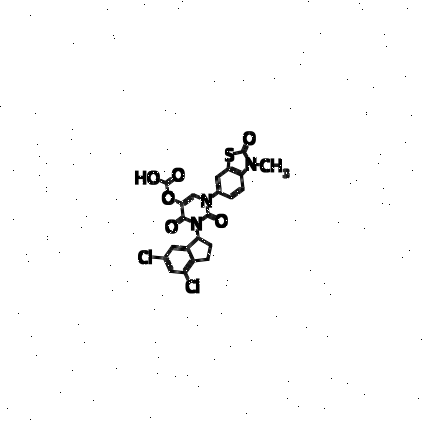 Cn1c(=O)sc2cc(-n3cc(OC(=O)O)c(=O)n(C4CCc5c(Cl)cc(Cl)cc54)c3=O)ccc21